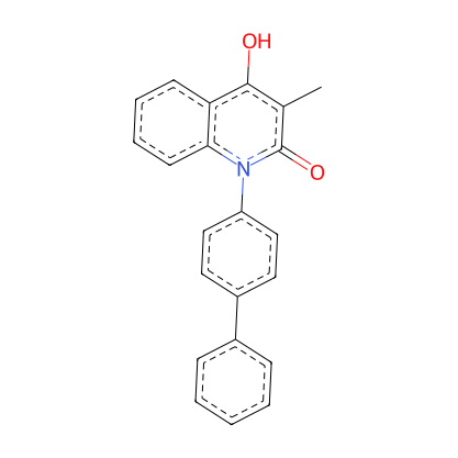 Cc1c(O)c2ccccc2n(-c2ccc(-c3ccccc3)cc2)c1=O